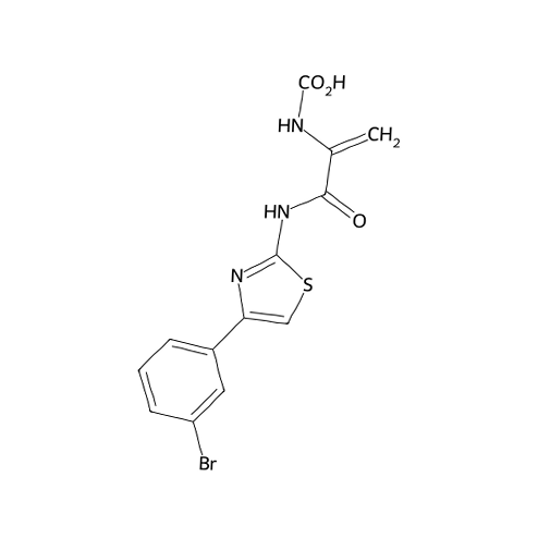 C=C(NC(=O)O)C(=O)Nc1nc(-c2cccc(Br)c2)cs1